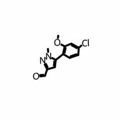 COc1cc(Cl)ccc1-c1cc(C=O)nn1C